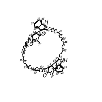 CN1C(=O)C2=C(C1=O)N1CCN(CCCCCN3CCN(CC3)C3=C(C(=O)N(C)C3=O)c3c([nH]c4ccccc34)CCCCCCCCCCc3[nH]c4ccccc4c32)CC1